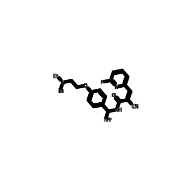 CCCC(NC(=O)C(C#N)=Cc1cccc(F)n1)c1ccc(OCCN(CC)CC)cc1